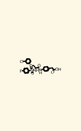 O=C(O)Cc1ccc(NC(=O)C(COc2cccc(Cl)c2)NS(=O)(=O)c2ccc(F)cc2)cc1